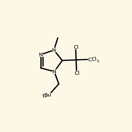 CN1N=CN(CC(C)(C)C)C1C(Cl)(Cl)C(Cl)(Cl)Cl